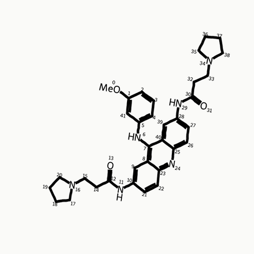 COc1cccc(Nc2c3cc(NC(=O)CCN4CCCC4)ccc3nc3ccc(NC(=O)CCN4CCCC4)cc23)c1